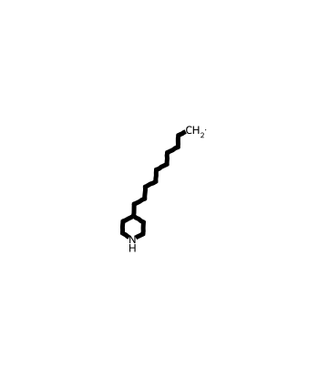 [CH2]CCCCCCCCCC1CCNCC1